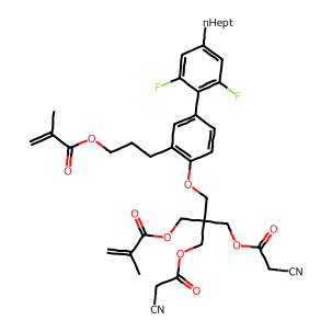 C=C(C)C(=O)OCCCc1cc(-c2c(F)cc(CCCCCCC)cc2F)ccc1OCC(COC(=O)CC#N)(COC(=O)CC#N)COC(=O)C(=C)C